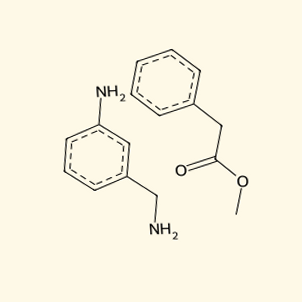 COC(=O)Cc1ccccc1.NCc1cccc(N)c1